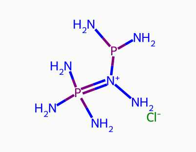 N[N+](P(N)N)=P(N)(N)N.[Cl-]